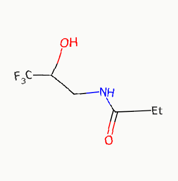 CCC(=O)NCC(O)C(F)(F)F